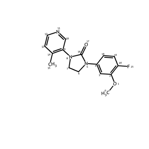 COc1cc(N2CCN(c3cnccc3C)C2=O)ccc1F